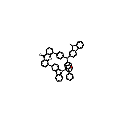 CC1c2ccccc2-c2ccc(N(c3ccc(-c4ccccc4)cc3)c3ccc(-c4cccc5c(=O)c6cccc(-c7ccc8c(c7)c7ccccc7n8-c7ccccc7)c6oc45)cc3)cc21